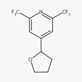 FC(F)(F)c1cc([C]2CCCO2)cc(C(F)(F)F)n1